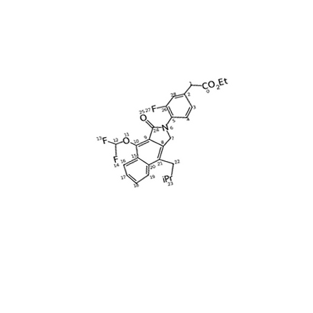 CCOC(=O)Cc1ccc(N2Cc3c(c(OC(F)F)c4ccccc4c3CC(C)C)C2=O)c(F)c1